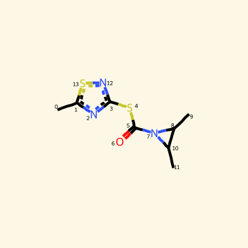 Cc1nc(SC(=O)N2C(C)C2C)ns1